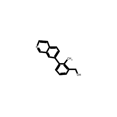 Cc1c(CO)cccc1-c1ccc2ccncc2c1